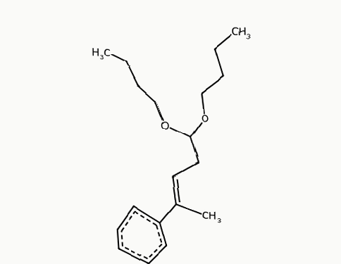 CCCCOC(CC=C(C)c1ccccc1)OCCCC